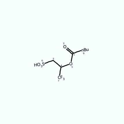 CCCCC(=O)OC(CS(=O)(=O)O)C(F)(F)F